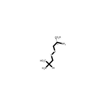 CC(=O)C(N)(CSSC[C@@H](N)C(=O)O)C(=O)O